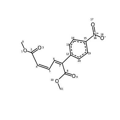 COC(=O)/C=C\C=C(/C(=O)OC)c1ccc([N+](=O)[O-])cc1